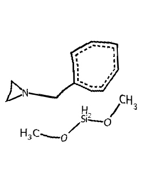 CO[SiH2]OC.c1ccc(CN2CC2)cc1